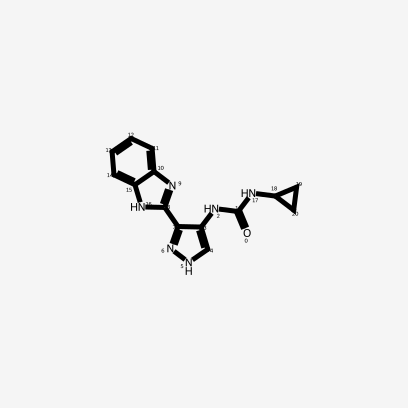 O=C(Nc1c[nH]nc1-c1nc2ccccc2[nH]1)NC1CC1